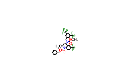 COC(=O)N(Cc1cc(C(F)(F)F)cc(C(F)(F)F)c1)[C@H]1C[C@@H](C)N(C(=O)OCc2ccccc2)c2ccc(C(F)(F)F)cc21